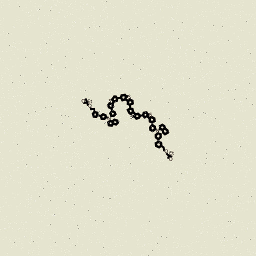 CCC1(COCCc2cccc(-c3ccc(N(c4cccc(-c5ccc6sc7ccc(-c8ccc9sc%10ccc(-c%11ccc%12sc%13ccc(-c%14ccc%15sc%16ccc(-c%17cccc(N(c%18ccc(-c%19cccc(CCOCC%20(CC)COC%20)c%19)cc%18)c%18cccc%19ccccc%18%19)c%17)cc%16c%15c%14)cc%13c%12c%11)cc%10c9c8)cc7c6c5)c4)c4cccc5ccccc45)cc3)c2)COC1